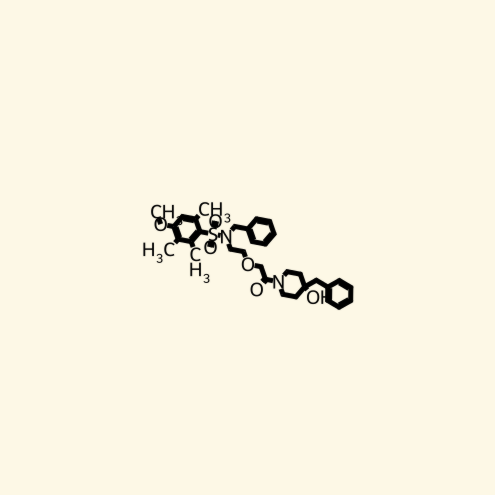 COc1cc(C)c(S(=O)(=O)N(CCOCC(=O)N2CCC(O)(Cc3ccccc3)CC2)Cc2ccccc2)c(C)c1C